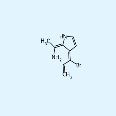 C=C/C(Br)=c1/cc[nH]/c1=C(\C)N